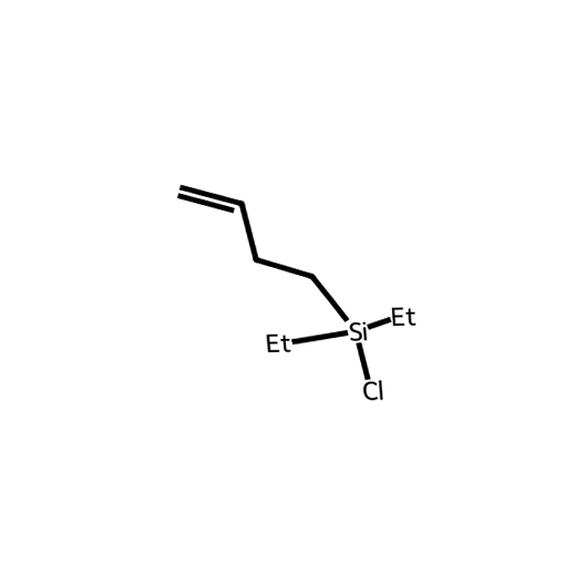 C=CCC[Si](Cl)(CC)CC